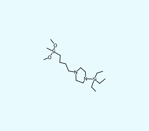 CC[Si](CC)(CC)N1CCN(CCCC[Si](C)(OC)OC)CC1